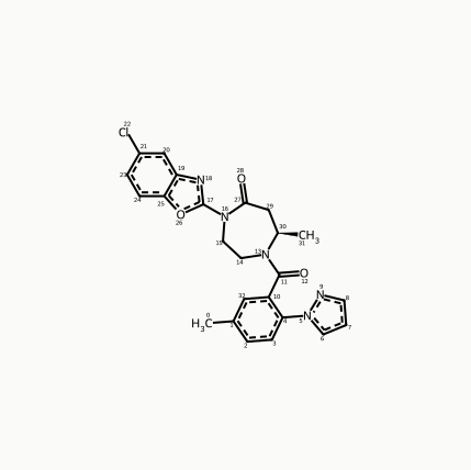 Cc1ccc(-n2cccn2)c(C(=O)N2CCN(c3nc4cc(Cl)ccc4o3)C(=O)C[C@H]2C)c1